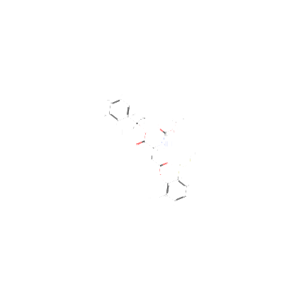 CCSSc1cccc(C)c1OC(=O)C[C@H](NC(=O)OC(C)(C)C)C(=O)OC(C)(C)c1ccccc1